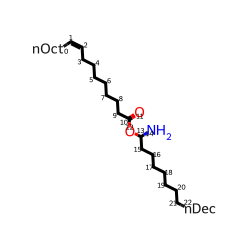 CCCCCCCC/C=C\CCCCCCCC(=O)OC(N)CCCCCCCCCCCCCCCCC